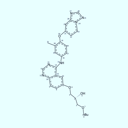 CCCCOC[C@@H](O)COc1ccc2ncnc(Nc3ccc(Oc4ccn5ncnc5c4)c(C)c3)c2c1